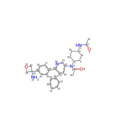 CC(=O)NC1CCC(N(C(C)=O)c2cnc(-c3ccc(C4(N)COC4)cc3)c(-c3ccccc3)c2)CC1